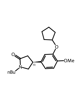 CCCCN1C[C@H](c2ccc(OC)c(OC3CCCC3)c2)CC1=O